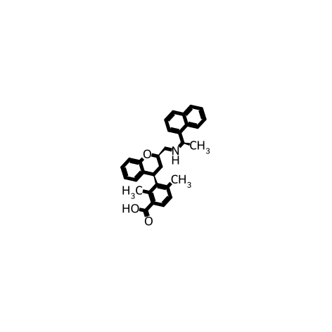 Cc1ccc(C(=O)O)c(C)c1[C@@H]1C[C@H](CN[C@H](C)c2cccc3ccccc23)Oc2ccccc21